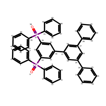 O=P(c1ccccc1)(c1ccccc1)c1cc(-c2cc(-c3ccccc3)cc(-c3ccccc3)c2)cc(P(=O)(c2ccccc2)c2ccccc2)c1